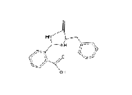 O=C(O)c1ccccc1C1NC(=S)N(Cc2ccccc2)N1